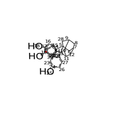 Oc1ccc(C23CC4CC(CC(C4)C2(c2ccc(O)cc2)c2ccc(O)cc2)C3)cc1